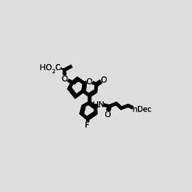 CCCCCCCCCCCCCC(=O)Nc1cc(F)ccc1-c1cc(=O)oc2cc(O[C@H](C)C(=O)O)ccc12